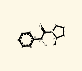 C[C@@H]1CCCN1C(=O)[C@H](C)c1ccccc1